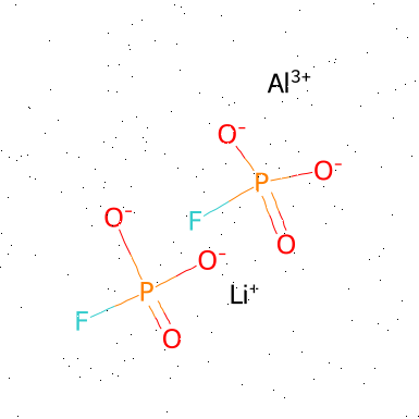 O=P([O-])([O-])F.O=P([O-])([O-])F.[Al+3].[Li+]